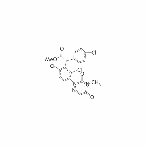 COC(=O)C(c1ccc(Cl)cc1)c1c(Cl)ccc(-n2ncc(=O)n(C)c2=O)c1Cl